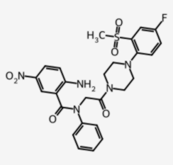 CS(=O)(=O)c1cc(F)ccc1N1CCN(C(=O)CN(C(=O)c2cc([N+](=O)[O-])ccc2N)c2ccccc2)CC1